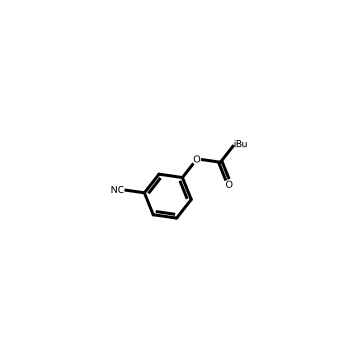 CCC(C)C(=O)Oc1cccc(C#N)c1